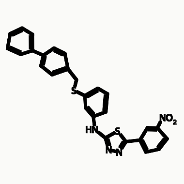 O=[N+]([O-])c1cccc(-c2nnc(Nc3cccc(SCc4ccc(-c5ccccc5)cc4)c3)s2)c1